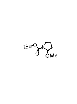 CO[C@@H]1CCCN1C(=O)OC(C)(C)C